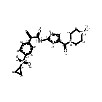 C=C(C(=O)Nc1ncc(C(=O)N2CC[S+]([O-])CC2)s1)c1ccc(S(=O)(=O)C2CC2)cc1